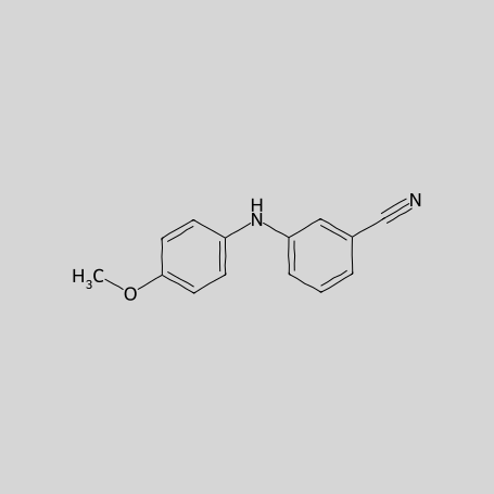 COc1ccc(Nc2cccc(C#N)c2)cc1